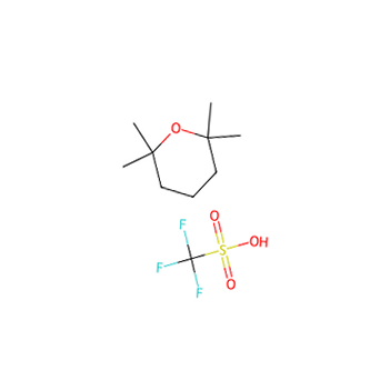 CC1(C)CCCC(C)(C)O1.O=S(=O)(O)C(F)(F)F